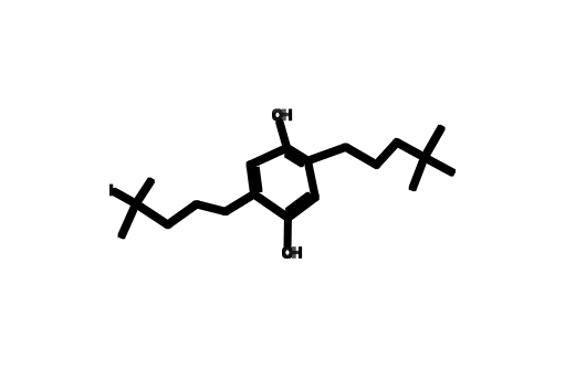 CC(C)(C)CCCc1cc(O)c(CCCC(C)(C)I)cc1O